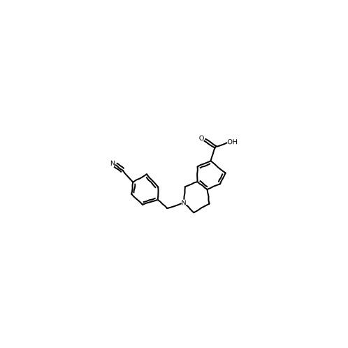 N#Cc1ccc(CN2CCc3ccc(C(=O)O)cc3C2)cc1